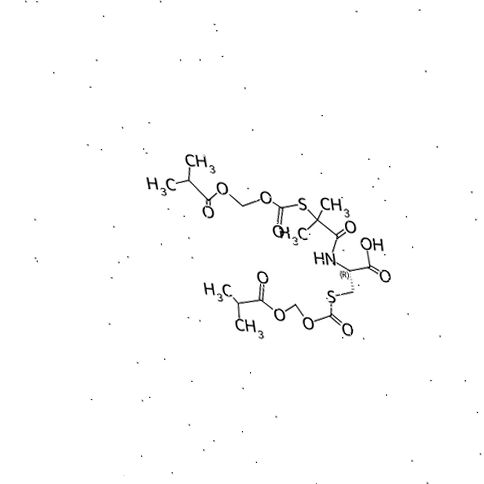 CC(C)C(=O)OCOC(=O)SC[C@H](NC(=O)C(C)(C)SC(=O)OCOC(=O)C(C)C)C(=O)O